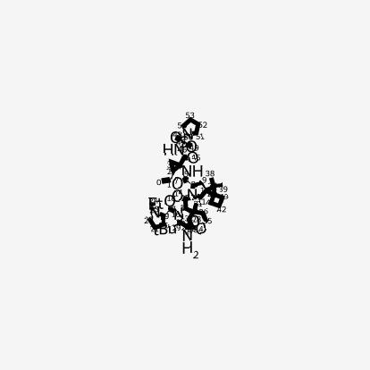 C=C[C@@H]1C[C@]1(NC(=O)[C@@H]1C[C@@]2(CN1C(=O)[C@@H](N(C(=O)[C@@H]1CCCN1CC)[C@H](C(N)=O)C(C)(C)C)C1(C)CCOCC1)C(C)(C)C21CCC1)C(=O)NS(=O)(=O)N1CCCC1